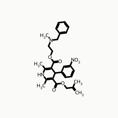 C=C(C)COC(=O)C1=C(C)NC(C)=C(C(=O)OCCN(C)Cc2ccccc2)C1c1cccc([N+](=O)[O-])c1